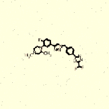 C[C@H]1CN(C)CCN1c1cc(-c2cn(Cc3ccc(-c4nnc(C(F)F)o4)cc3)nn2)ccc1F